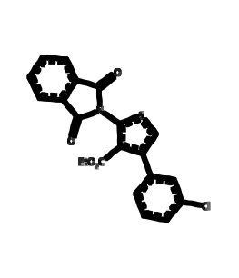 CCOC(=O)c1c(-c2cccc(Cl)c2)csc1N1C(=O)c2ccccc2C1=O